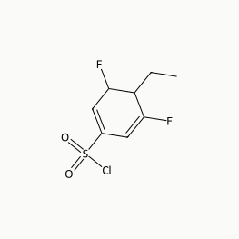 CCC1C(F)=CC(S(=O)(=O)Cl)=CC1F